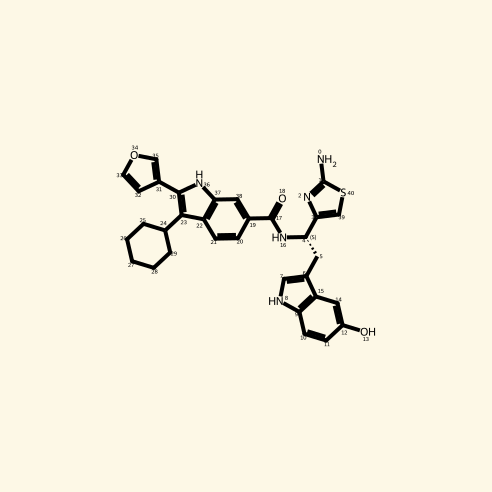 Nc1nc([C@H](Cc2c[nH]c3ccc(O)cc23)NC(=O)c2ccc3c(C4CCCCC4)c(-c4ccoc4)[nH]c3c2)cs1